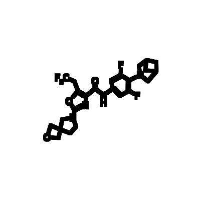 O=C(Nc1cc(F)c(N2CC3CC(C3)C2)c(F)c1)c1nc(N2CCC3(COC3)C2)oc1CC(F)(F)F